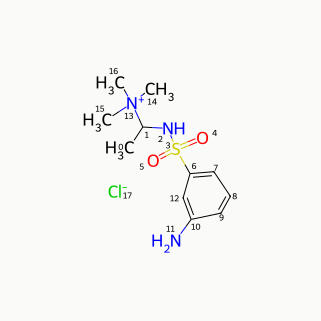 CC(NS(=O)(=O)c1cccc(N)c1)[N+](C)(C)C.[Cl-]